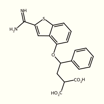 N=C(N)c1cc2c(OC(CC(C(=O)O)C(=O)O)c3ccccc3)cccc2s1